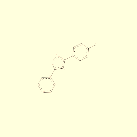 Nc1ccc(-c2cc(-c3ccncc3)on2)cc1